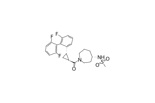 CS(=O)(=O)N[C@H]1CCCN(C(=O)[C@H]2C[C@@H]2c2cccc(F)c2-c2c(F)cccc2F)CC1